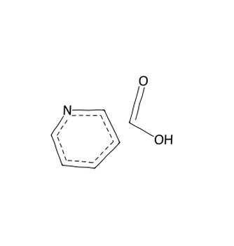 O=CO.c1ccncc1